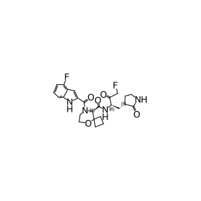 O=C1NCC[C@H]1C[C@@H](NC(=O)[C@@H]1N(C(=O)c2cc3c(F)cccc3[nH]2)CCOC12CCC2)C(=O)CF